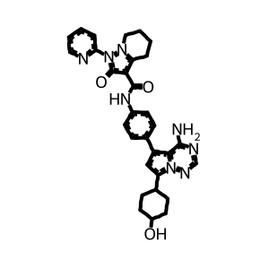 Nc1ncnn2c(C3CCC(O)CC3)cc(-c3ccc(NC(=O)c4c5n(n(-c6ccccn6)c4=O)CCCC5)cc3)c12